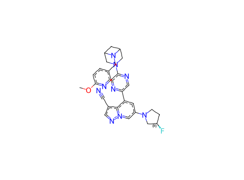 COc1ccc(CN2C3CC2CN(c2cnc(-c4cc(N5CC[C@@H](F)C5)cn5ncc(C#N)c45)cn2)C3)cn1